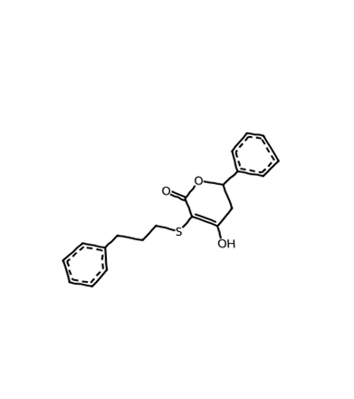 O=C1OC(c2ccccc2)CC(O)=C1SCCCc1ccccc1